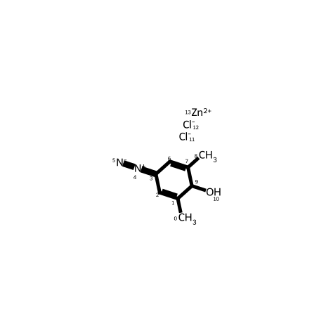 CC1=CC(=[N+]=[N-])C=C(C)C1O.[Cl-].[Cl-].[Zn+2]